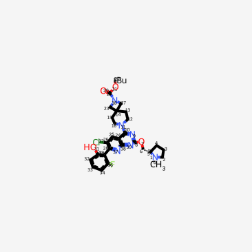 CN1CCC[C@H]1COc1nc(N2CCC3(CC2)CN(C(=O)OC(C)(C)C)C3)c2cc(Cl)c(-c3c(O)cccc3F)nc2n1